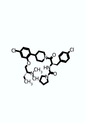 CC[C@H](COc1cc(Cl)ccc1C1CCN(C(=O)[C@@H](Cc2ccc(Cl)cc2)NC(=O)N2CCCC2)CC1)N(C)C